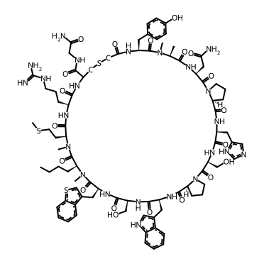 CCCC[C@H]1C(=O)N(C)[C@@H](CCSC)C(=O)N[C@@H](CCCNC(=N)N)C(=O)NC(C(=O)NCC(N)=O)CSCC(=O)N[C@@H](Cc2ccc(O)cc2)C(=O)N(C)[C@@H](C)C(=O)N[C@@H](CC(N)=O)C(=O)N2CCC[C@H]2C(=O)N[C@@H](Cc2cnc[nH]2)C(=O)N[C@@H](CO)C(=O)N2CCC[C@H]2C(=O)N[C@@H](Cc2c[nH]c3ccccc23)C(=O)N[C@@H](CO)C(=O)N[C@@H](Cc2csc3ccccc23)C(=O)N1C